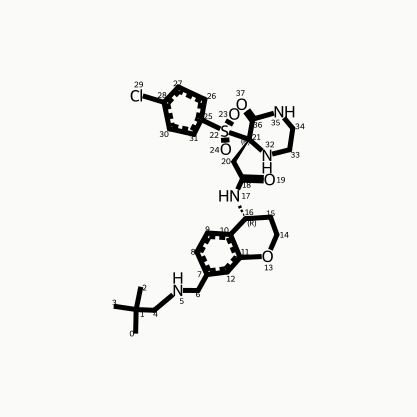 CC(C)(C)CNCc1ccc2c(c1)OCC[C@H]2NC(=O)C[C@]1(S(=O)(=O)c2ccc(Cl)cc2)NCCNC1=O